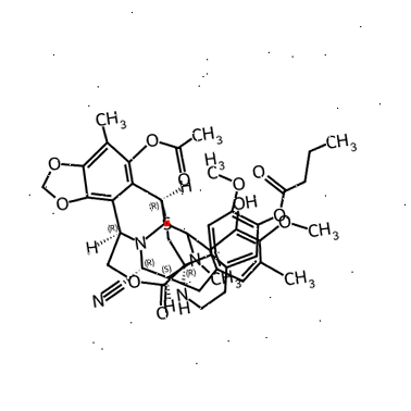 CCCC(=O)Oc1cc2c(cc1OC)[C@@]1(CS[C@@H]3c4c(OC(C)=O)c(C)c5c(c4[C@H](COC1=O)N1C3C3c4c(cc(C)c(OC)c4O)C[C@@H]([C@@H]1C#N)N3C)OCO5)NCC2